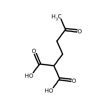 CC(=O)CCC(C(=O)O)C(=O)O